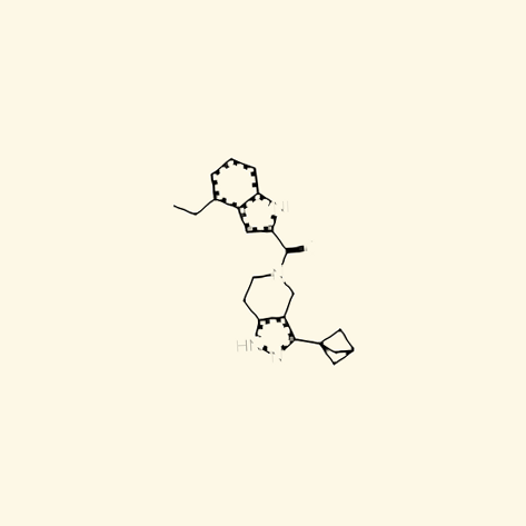 CCc1cccc2[nH]c(C(=O)N3CCc4[nH]nc(C56CC(C5)C6)c4C3)cc12